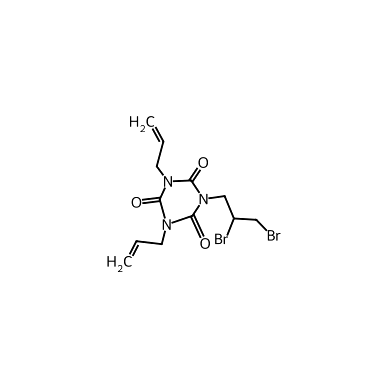 C=CCn1c(=O)n(CC=C)c(=O)n(CC(Br)CBr)c1=O